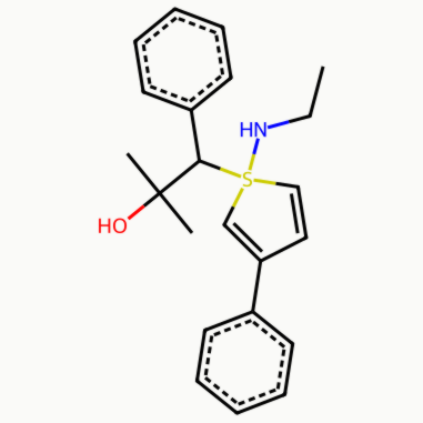 CCNS1(C(c2ccccc2)C(C)(C)O)C=CC(c2ccccc2)=C1